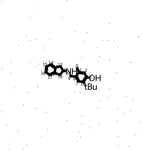 Cc1cc(O)c(C(C)(C)C)cc1CNC1Cc2ccccc2C1